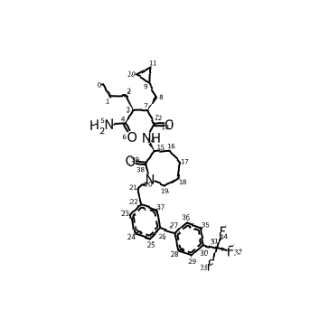 CCC[C@H](C(N)=O)[C@@H](CC1CC1)C(=O)N[C@H]1CCCCN(Cc2cccc(-c3ccc(C(F)(F)F)cc3)c2)C1=O